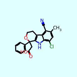 Cc1cc(Cl)c2[nH]c3c(c2c1C#N)CCOC3(CC(=O)O)c1ccccc1